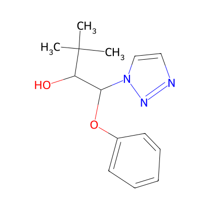 CC(C)(C)C(O)C(Oc1ccccc1)n1ccnn1